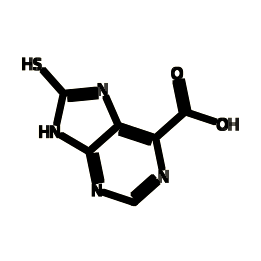 O=C(O)c1ncnc2[nH]c(S)nc12